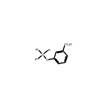 CCOC(=O)c1cccc(O[Si](C(C)C)(C(C)C)C(C)C)c1